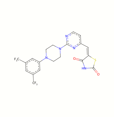 O=C1NC(=O)/C(=C\c2ccnc(N3CCN(c4cc(C(F)(F)F)cc(C(F)(F)F)c4)CC3)n2)S1